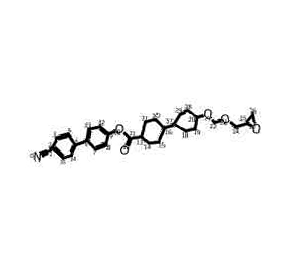 N#Cc1ccc(-c2ccc(OC(=O)C3CCC(C4CCC(OCOCC5CO5)CC4)CC3)cc2)cc1